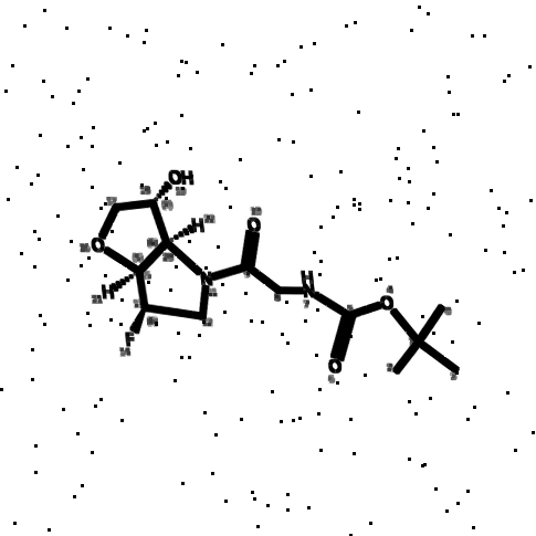 CC(C)(C)OC(=O)NCC(=O)N1C[C@@H](F)[C@H]2OC[C@H](O)[C@H]21